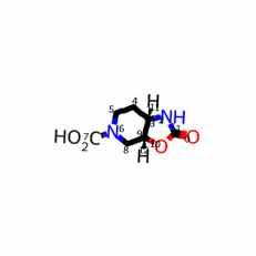 O=C1N[C@H]2CCN(C(=O)O)C[C@H]2O1